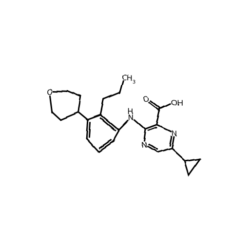 CCCc1c(Nc2ncc(C3CC3)nc2C(=O)O)cccc1C1CCOCC1